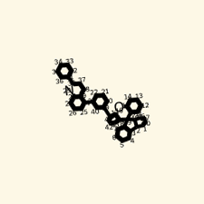 C1=CC2c3ccccc3C3(c4ccccc4Oc4c(-c5cccc(-c6cccc7nc(-c8ccccc8)ccc67)c5)cccc43)C2C=C1